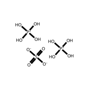 O=S(=O)([O-])[O-].O[P+](O)(O)O.O[P+](O)(O)O